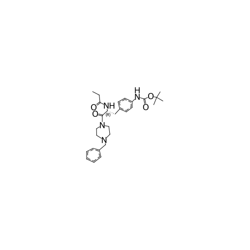 CCC(=O)N[C@H](Cc1ccc(NC(=O)OC(C)(C)C)cc1)C(=O)N1CCN(Cc2ccccc2)CC1